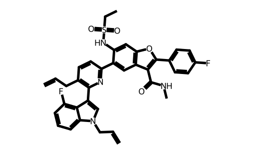 C=CCc1ccc(-c2cc3c(C(=O)NC)c(-c4ccc(F)cc4)oc3cc2NS(=O)(=O)CC)nc1-c1cn(CC=C)c2cccc(F)c12